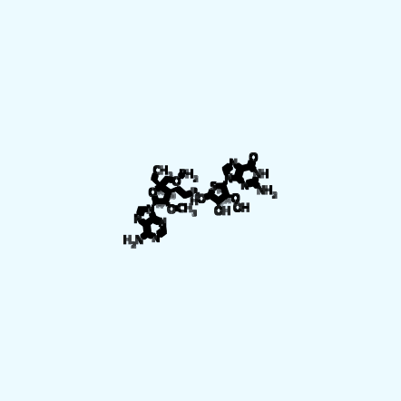 CC[C@]1(COP)O[C@@H](n2cnc3c(N)ncnc32)[C@H](OC)[C@@H]1CCPOC1S[C@@H](n2cnc3c(=O)[nH]c(N)nc32)[C@H](OO)[C@@H]1O